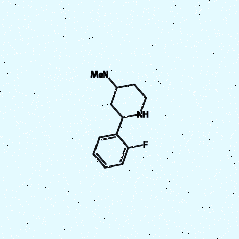 CNC1CCNC(c2ccccc2F)C1